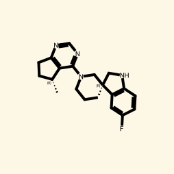 C[C@@H]1CCc2ncnc(N3CCC[C@@]4(CNc5ccc(F)cc54)C3)c21